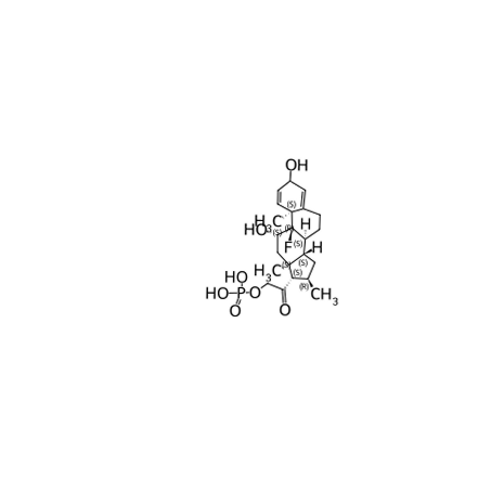 C[C@@H]1C[C@H]2[C@@H]3CCC4=CC(O)C=C[C@]4(C)[C@@]3(F)[C@@H](O)C[C@]2(C)[C@H]1C(=O)COP(=O)(O)O